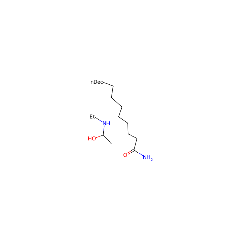 CCCCCCCCCCCCCCCCCC(N)=O.CCNC(C)O